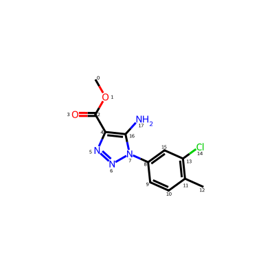 COC(=O)c1nnn(-c2ccc(C)c(Cl)c2)c1N